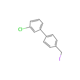 Clc1cccc(-c2ccc(CI)cc2)c1